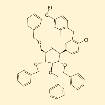 CCOc1ccc(Cc2cc([C@@H]3S[C@H](COCc4ccccc4)[C@@H](OCc4ccccc4)[C@H](OCc4ccccc4)[C@H]3OCc3ccccc3)ccc2Cl)c(C)c1